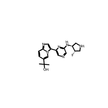 CC(C)(O)c1ccc2ncc(-c3cncc(N[C@H]4CNC[C@@H]4F)n3)n2c1